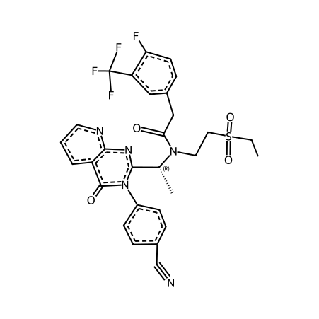 CCS(=O)(=O)CCN(C(=O)Cc1ccc(F)c(C(F)(F)F)c1)[C@H](C)c1nc2ncccc2c(=O)n1-c1ccc(C#N)cc1